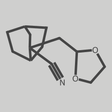 N#CC1(CC2OCCO2)CC2CCC1CC2